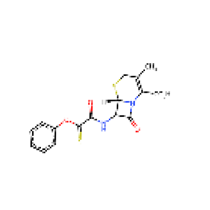 CC1=C(C(=O)O)N2C(=O)C(NC(=O)C(=S)Oc3ccccc3)[C@@H]2SC1